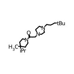 CC(C)C1(C)CCN(C(=O)CN2CCN(CCCC(C)(C)C)CC2)CC1